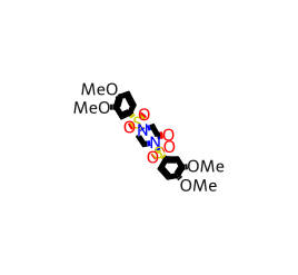 COc1ccc(S(=O)(=O)N2CCN(S(=O)(=O)c3ccc(OC)c(OC)c3)C(=O)C2)cc1OC